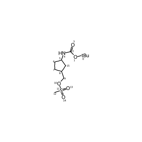 CC(C)(C)OC(=O)NC1CCC(COS(C)(=O)=O)C1